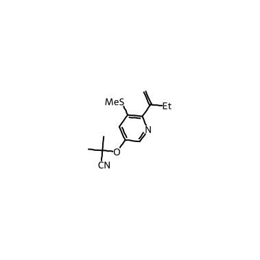 C=C(CC)c1ncc(OC(C)(C)C#N)cc1SC